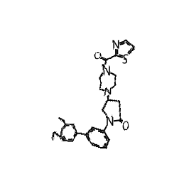 Cc1cc(-c2cccc(N3CC(N4CCN(C(=O)c5nccs5)CC4)CC3=O)c2)ccn1